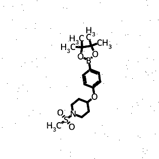 CC1(C)OB(c2ccc(OC3CCN(S(C)(=O)=O)CC3)cc2)OC1(C)C